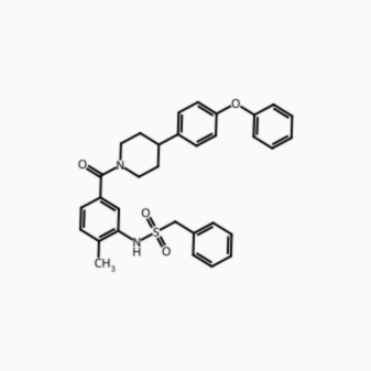 Cc1ccc(C(=O)N2CCC(c3ccc(Oc4ccccc4)cc3)CC2)cc1NS(=O)(=O)Cc1ccccc1